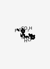 Cc1ccc(Cl)c2c1cc(C)n2CCNc1cc(-c2ccc(C(=O)O)c(SC=CF)c2)ncn1